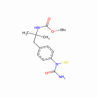 CC(C)(Cc1ccc(N(S)C(N)=O)cc1)NC(=O)OC(C)(C)C